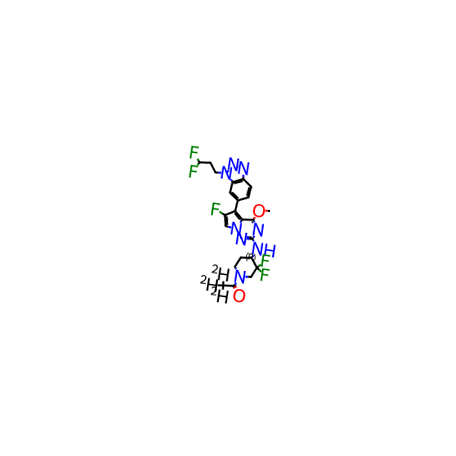 [2H]C([2H])([2H])C(=O)N1CC[C@@H](Nc2nc(OC)c3c(-c4ccc5nnn(CCC(F)F)c5c4)c(F)cn3n2)C(F)(F)C1